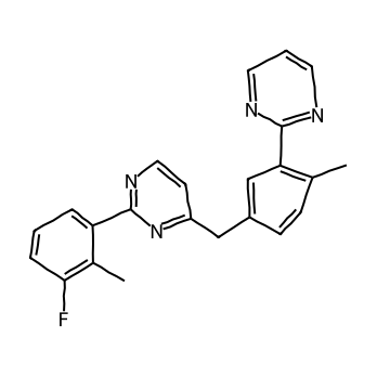 Cc1ccc(Cc2ccnc(-c3cccc(F)c3C)n2)cc1-c1ncccn1